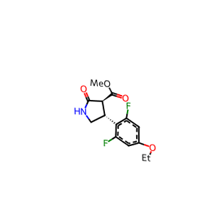 CCOc1cc(F)c([C@@H]2CNC(=O)[C@H]2C(=O)OC)c(F)c1